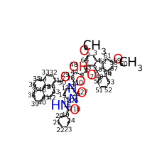 COc1ccc(C(OC[C@H]2O[C@@H](n3ccc(NC(=O)c4ccccc4)nc3=O)C(OCc3ccc4ccc5cccc6ccc3c4c56)C2O)(c2ccccc2)c2ccc(OC)cc2)cc1